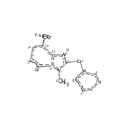 Cn1c(Oc2ccccc2)nc2c(Br)cccc21